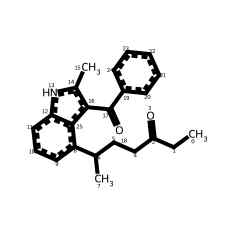 CCC(=O)CCC(C)c1cccc2[nH]c(C)c(C(=O)c3ccccc3)c12